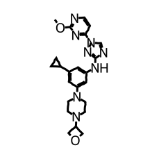 COc1nccc(-n2cnc(Nc3cc(C4CC4)cc(N4CCN(C5COC5)CC4)c3)n2)n1